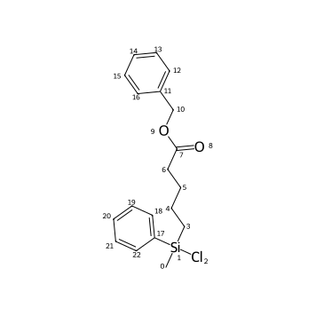 C[Si](Cl)(CCCCC(=O)OCc1ccccc1)c1ccccc1